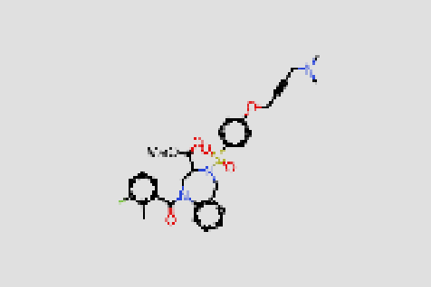 COC(=O)C1CN(C(=O)c2cccc(F)c2C)c2ccccc2CN1S(=O)(=O)c1ccc(OCC#CCN(C)C)cc1